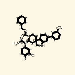 N#Cc1cccc(-c2ccc3c(c2)NCC32CCN(C(=O)OCc3ccccc3)C(N(C(N)=O)c3ccc(F)c(Cl)c3)C2)c1